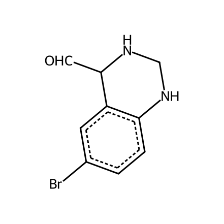 O=CC1NCNc2ccc(Br)cc21